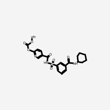 CCCOC(=O)Oc1ccc(C(=O)NS(=O)(=O)c2cccc(C(=O)NC3CCCCC3)c2)cn1